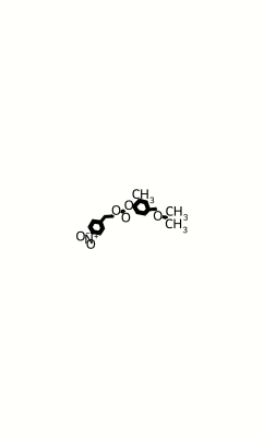 Cc1cc(COC(C)C)ccc1OC(=O)OCCc1ccc([N+](=O)[O-])cc1